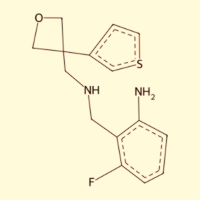 Nc1cccc(F)c1CNCC1(c2ccsc2)COC1